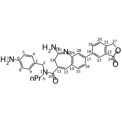 CCCN(Cc1ccc(N)cc1)C(=O)C1=Cc2ccc(-c3ccc4c(c3)C(=O)OC4)cc2N=C(N)C1